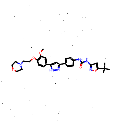 COc1cc(-c2cc(-c3ccc(NC(=O)Nc4cc(C(C)(C)C)on4)cc3)n[nH]2)ccc1OCCN1CCOCC1